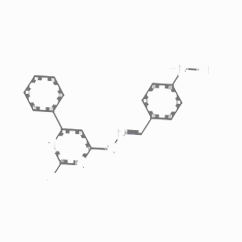 CNc1ccc(/C=N/Nc2cc(-c3ccccc3)nc(C)n2)cc1